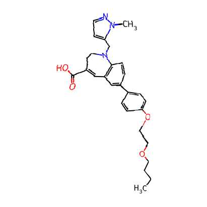 CCCCOCCOc1ccc(-c2ccc3c(c2)C=C(C(=O)O)CCN3Cc2ccnn2C)cc1